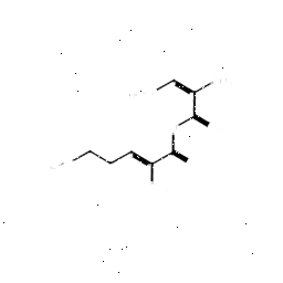 CCCCCCCCC=C(C)C(=O)OC(=O)C(C)=CCCCCCCCCCCCC